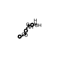 O=C(NCC1CCN(C(=O)OCc2ccccc2)CC1)c1ccc(NO)cc1